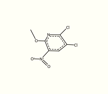 COc1nc(Cl)c(Cl)cc1[N+](=O)[O-]